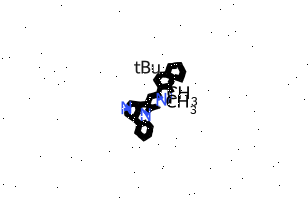 Cc1c(-c2cc3c4cncc5c6ccccc6n(c3c[n+]2C)c54)cc(C(C)(C)C)c2ccccc12